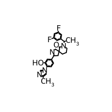 Cc1cn(-c2ccc(C3=NCC4(CCCN(C(C)c5cc(F)cc(F)c5)C4=O)C3)cc2O)cn1